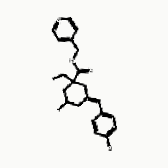 CCC1(C(=O)NCc2ccncc2)C/C(=C/c2ccc(Cl)cc2)CC(C)C1